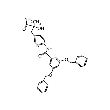 CC(O)(Cc1ccc(NC(=O)c2cc(OCc3ccccc3)cc(OCc3ccccc3)c2)nc1)C(N)=O